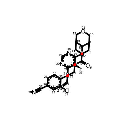 C=CCCOC(=O)N1CC2COCC(C1)C2Oc1ncnc(Nc2ccc(C#N)cc2Cl)c1F